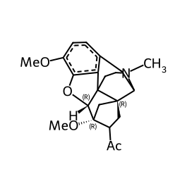 COc1ccc2c3c1O[C@@H]1C34CCN(C)C(C2)[C@@]42CC(C(C)=O)[C@]1(OC)C2